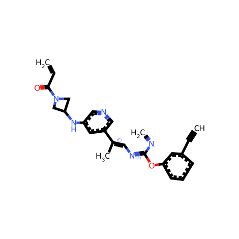 C#Cc1cccc(O/C(N=C)=N/C=C(\C)c2cncc(NC3CN(C(=O)C=C)C3)c2)c1